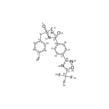 CS(=O)(Cc1ccc(F)cc1)=NC(=O)c1ccc(-c2noc(C(F)(F)F)n2)cc1